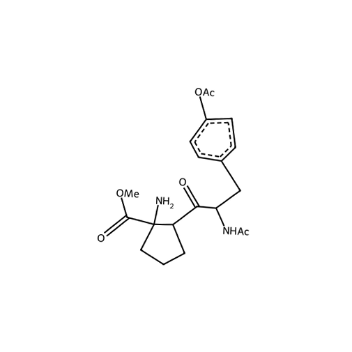 COC(=O)C1(N)CCCC1C(=O)C(Cc1ccc(OC(C)=O)cc1)NC(C)=O